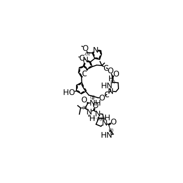 CCn1c(-c2cccnc2[C@H](C)OC)c2c3cc(ccc31)-c1cc(O)cc(c1)C[C@H](NC(=O)[C@H](C(C)C)N(C)C(=O)N1C[C@@H]3[C@H]1CCN3C(=O)[C@H]1CN1)COCN1CCC[C@H](N1)C(=O)OCC(C)(C)C2